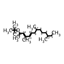 CCC(C)CCCC(C)CC=CC(C)=CC(=O)OC(C)(C)C